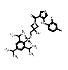 CC(C)c1cc(C(C)C)c(S(=O)(=O)OCC2(O)CN(C(=O)c3cscc3Nc3ccc(I)cc3F)C2)c(C(C)C)c1